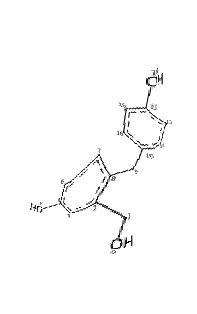 OCc1cc(O)ccc1Cc1ccc(O)cc1